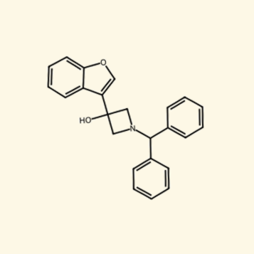 OC1(c2coc3ccccc23)CN(C(c2ccccc2)c2ccccc2)C1